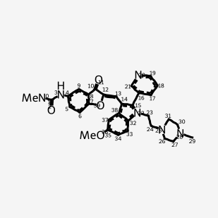 CNC(=O)Nc1ccc2c(c1)C(=O)C(=Cc1c(-c3cccnc3)n(CCN3CCN(C)CC3)c3ccc(OC)cc13)O2